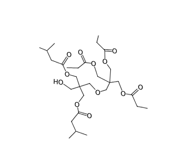 CCC(=O)OCC(COCC(CO)(COC(=O)CC(C)C)COC(=O)CC(C)C)(COC(=O)CC)COC(=O)CC